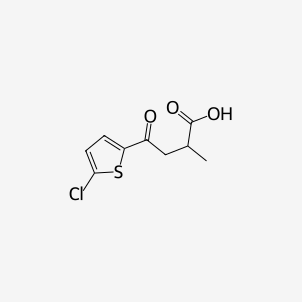 CC(CC(=O)c1ccc(Cl)s1)C(=O)O